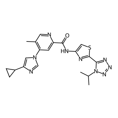 Cc1cnc(C(=O)Nc2csc(-c3nnnn3C(C)C)n2)cc1-n1cnc(C2CC2)c1